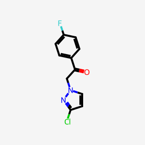 O=C(Cn1ccc(Cl)n1)c1ccc(F)cc1